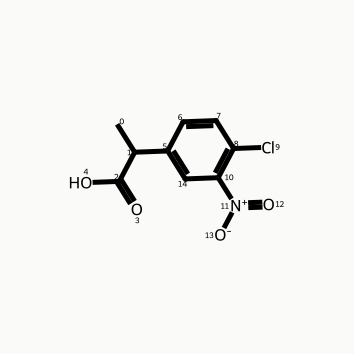 CC(C(=O)O)c1ccc(Cl)c([N+](=O)[O-])c1